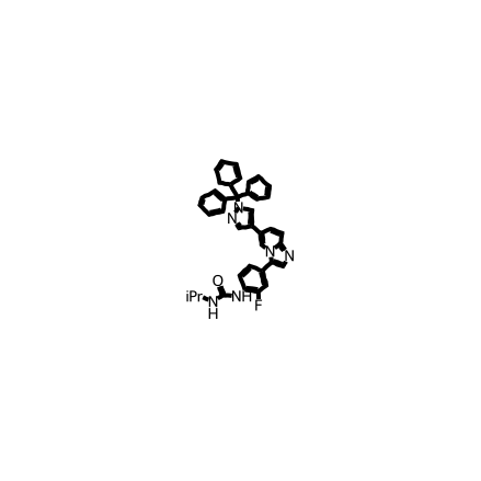 CC(C)NC(=O)Nc1ccc(-c2cnc3ccc(-c4cnn(C(c5ccccc5)(c5ccccc5)C5C=CC=CC5)c4)cn23)cc1F